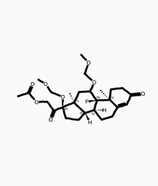 COCOC1C[C@@]2(C)[C@@H](CC[C@]2(OCOC)C(=O)COC(C)=O)[C@@H]2CCC3=CC(=O)CC[C@]3(C)[C@@]12F